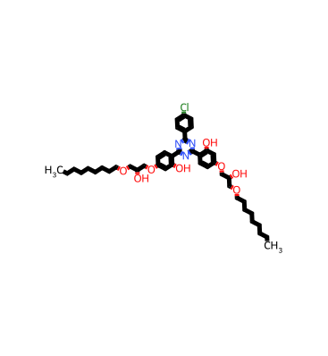 CCCCCCCCCOCC(O)COc1ccc(-c2nc(-c3ccc(Cl)cc3)nc(-c3ccc(OCC(O)COCCCCCCCCC)cc3O)n2)c(O)c1